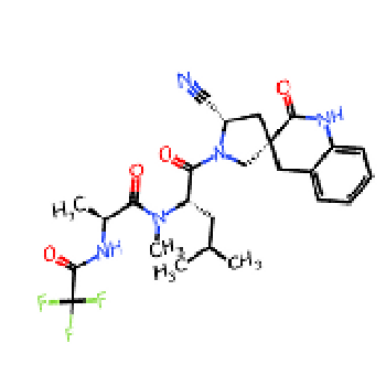 CC(C)C[C@@H](C(=O)N1C[C@]2(Cc3ccccc3NC2=O)C[C@H]1C#N)N(C)C(=O)[C@H](C)NC(=O)C(F)(F)F